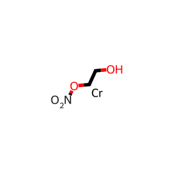 O=[N+]([O-])OCCO.[Cr]